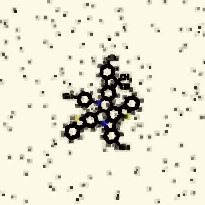 CC(C)(C)c1ccc(N2B3c4cc5sc6ccccc6c5cc4-n4c5ccc(C(C)(C)C)cc5c5c6sc7ccccc7c6c(c3c54)-c3cc4c(cc32)-c2ccc(C(C)(C)C)cc2C4(C)C)cc1